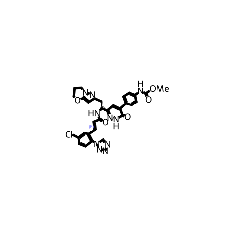 COC(=O)Nc1ccc(-c2cc([C@H](Cc3cc4n(n3)CCCO4)NC(=O)/C=C/c3cc(Cl)ccc3-n3cnnn3)n[nH]c2=O)cc1